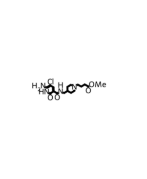 COC(=O)CCCN1CCC(CNC(=O)c2cc(Cl)c(N)[nH]c2=O)CC1